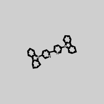 c1ccc2c(c1)c1ccccc1n2-c1ccc(-c2ccc(-n3c4ccccc4c4ccccc43)cn2)nc1